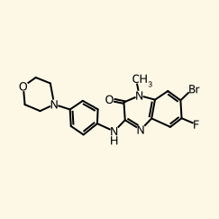 Cn1c(=O)c(Nc2ccc(N3CCOCC3)cc2)nc2cc(F)c(Br)cc21